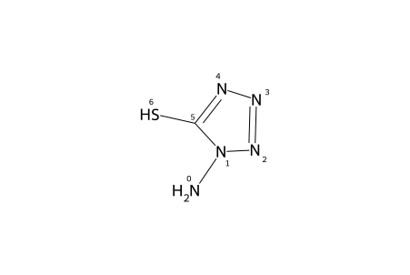 Nn1nnnc1S